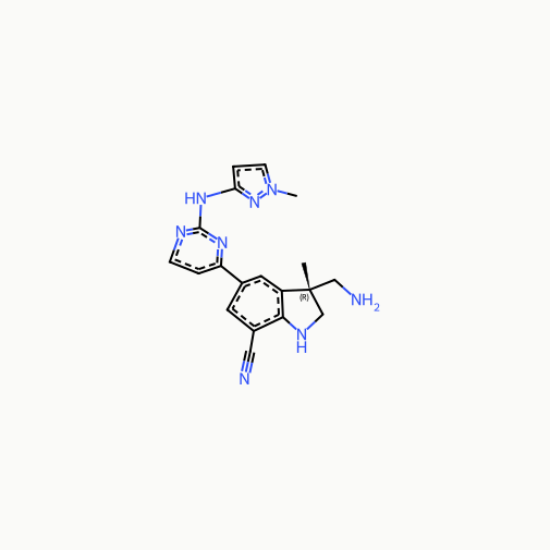 Cn1ccc(Nc2nccc(-c3cc(C#N)c4c(c3)[C@](C)(CN)CN4)n2)n1